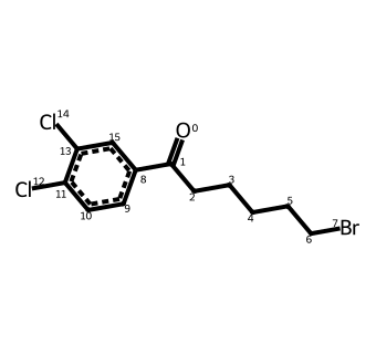 O=C(CCCCCBr)c1ccc(Cl)c(Cl)c1